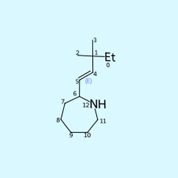 CCC(C)(C)/C=C/C1CCCCCN1